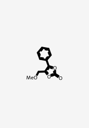 COCc1oc(=O)oc1-c1ccccc1